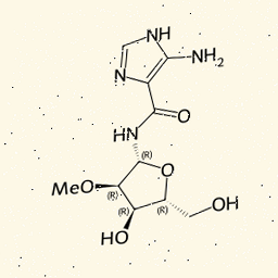 CO[C@@H]1[C@H](O)[C@@H](CO)O[C@H]1NC(=O)c1nc[nH]c1N